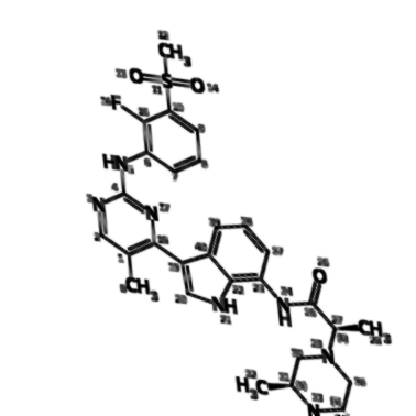 Cc1cnc(Nc2cccc(S(C)(=O)=O)c2F)nc1-c1c[nH]c2c(NC(=O)[C@@H](C)N3C[C@H](C)N[C@@H](C)C3)cccc12